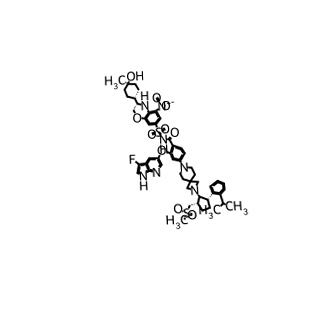 CC(C)c1ccccc1[C@@H]1CC[C@H](CS(C)(=O)=O)C1N1CC2(CCN(c3ccc(C(=O)NS(=O)(=O)c4cc5c(c([N+](=O)[O-])c4)N[C@@H]([C@H]4CC[C@](C)(O)CC4)CO5)c(Oc4cnc5[nH]cc(F)c5c4)c3)CC2)C1